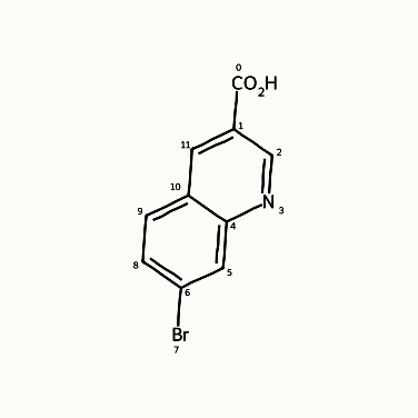 O=C(O)c1cnc2cc(Br)ccc2c1